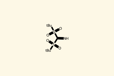 CC(C)(C)S(=O)(=O)C(=N)S(=O)(=O)C(C)(C)C